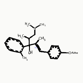 COc1ccc(/C=C(\C)C(O)(c2ccccc2C)C(C)CN(C)C)cc1